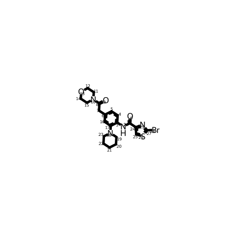 O=C(Nc1ccc(CC(=O)N2CCOCC2)cc1N1CCCCC1)c1csc(Br)n1